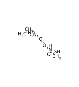 CC(S)C(=O)NCCOCCOCCN1CCN(C(C)C)CC1